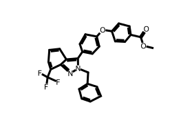 COC(=O)c1ccc(Oc2ccc(-c3c4cccc(C(F)(F)F)c4nn3Cc3ccccc3)cc2)cc1